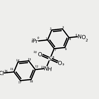 CC(C)c1ccc([N+](=O)[O-])cc1S(=O)(=O)Nc1ccc(Cl)cc1